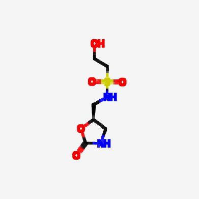 O=C1NC[C@H](CNS(=O)(=O)CCO)O1